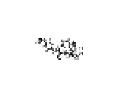 COc1ccc(CN(Cc2ccc(F)cc2)C(=O)CO[C@H]2C[C@H]3CC[C@@H](C2)N3C)cc1